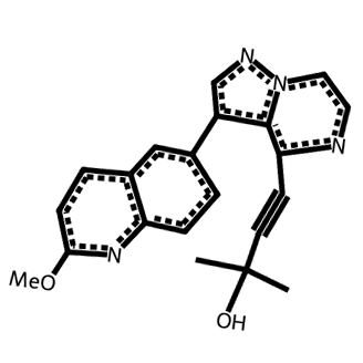 COc1ccc2cc(-c3cnn4ccnc(C#CC(C)(C)O)c34)ccc2n1